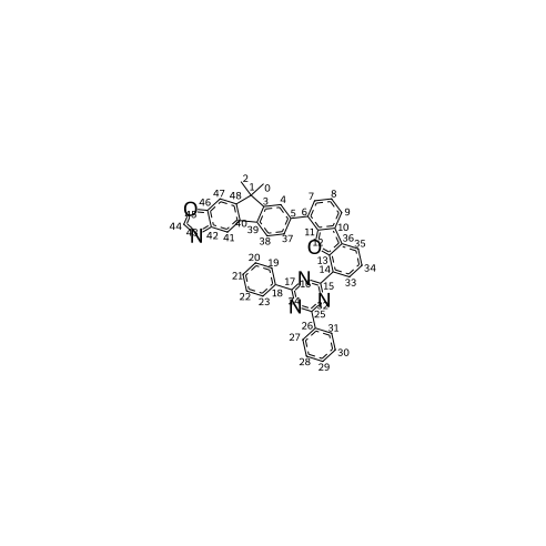 CC1(C)c2cc(-c3cccc4c3oc3c(-c5nc(-c6ccccc6)nc(-c6ccccc6)n5)cccc34)ccc2-c2cc3ncoc3cc21